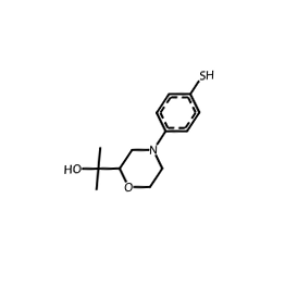 CC(C)(O)C1CN(c2ccc(S)cc2)CCO1